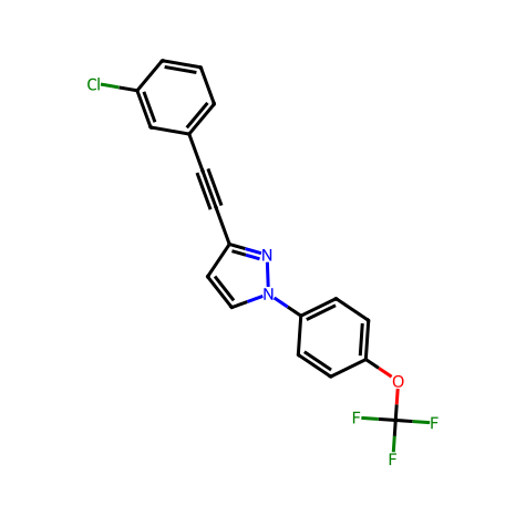 FC(F)(F)Oc1ccc(-n2ccc(C#Cc3cccc(Cl)c3)n2)cc1